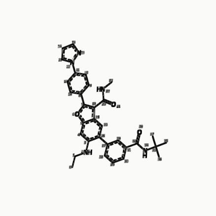 CCNc1cc2oc(-c3ccc(-n4cccn4)cc3)c(C(=O)NC)c2cc1-c1cccc(C(=O)NC(C)(C)C)c1